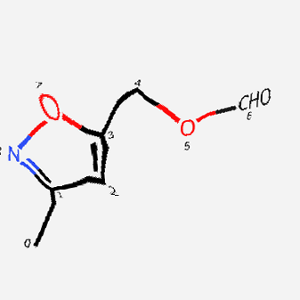 Cc1cc(COC=O)on1